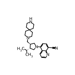 CC(C)[C@H]1CN(c2ccc(C#N)c3ncccc23)C[C@@H]1CN1CCC2(CCNCC2)CC1